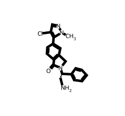 Cn1ncc(Cl)c1-c1ccc2c(c1)CN([C@@H](CN)c1ccccc1)C2=O